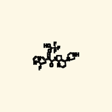 O=C(Nc1cc(F)c2nccn2c1)N1CCc2c(N3CCNCC3)ccnc21.O=C(O)C(F)(F)F